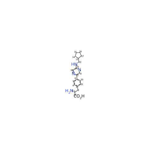 NC(Cc1ccc(-c2cnc(NCC3CCCC3)cn2)cc1)C(=O)O